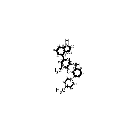 CN1CCN(c2cccc(Nc3nc(-c4cccc5[nH]ccc45)cn(C)c3=O)c2)CC1